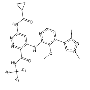 [2H]C([2H])([2H])NC(=O)c1nnc(NC(=O)C2CC2)cc1Nc1nccc(-c2cn(C)nc2C)c1OC